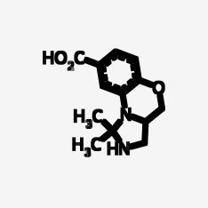 CC1(C)NCC2COc3ccc(C(=O)O)cc3N21